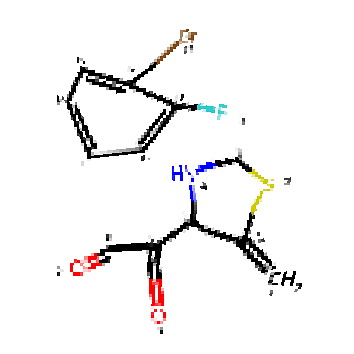 C=C1SCNC1C(=O)C=O.Fc1ccccc1Br